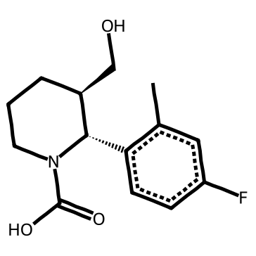 Cc1cc(F)ccc1[C@H]1[C@H](CO)CCCN1C(=O)O